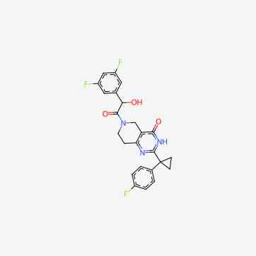 O=C(C(O)c1cc(F)cc(F)c1)N1CCc2nc(C3(c4ccc(F)cc4)CC3)[nH]c(=O)c2C1